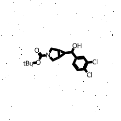 CC(C)(C)OC(=O)N1CC2C(C1)C2C(O)c1ccc(Cl)c(Cl)c1